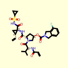 C=CC(=O)N[C@@H](C(=O)N1C[C@H](OC(=O)N2Cc3cccc(F)c3C2)C[C@H]1C(=O)N[C@]1(C(=O)NS(=O)(=O)C2CC2)C[C@H]1C=C)C(C)C